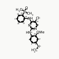 C=Nc1ccc(Nc2ncc(Cl)c(Nc3ccccc3P(C)(C)=O)n2)c(OC)c1